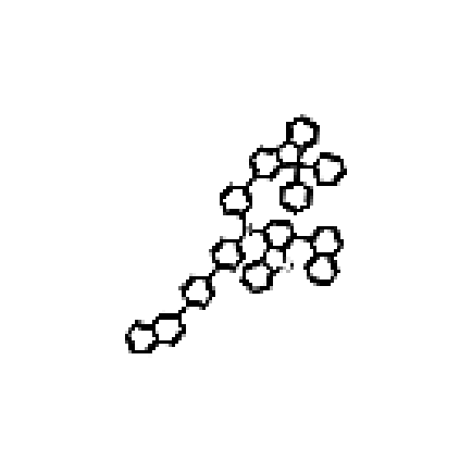 c1ccc(C2(c3ccccc3)c3ccccc3-c3ccc(-c4cccc(N(c5ccc(-c6ccc(-c7ccc8ccccc8c7)cc6)cc5)c5ccc(-c6cccc7ccccc67)c6oc7ccccc7c56)c4)cc32)cc1